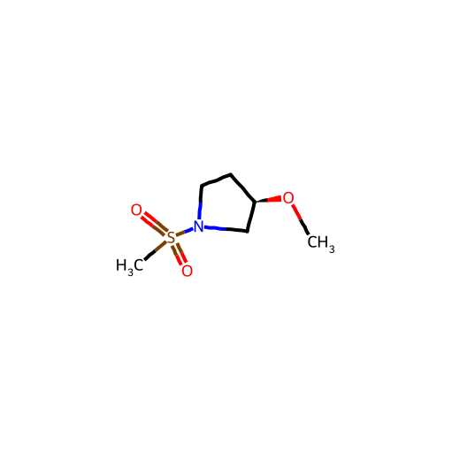 CO[C@@H]1CCN(S(C)(=O)=O)C1